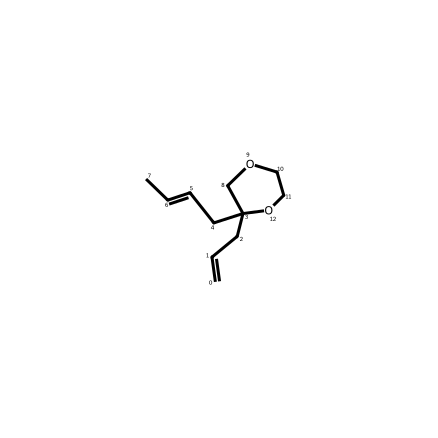 C=CCC1(CC=CC)COCCO1